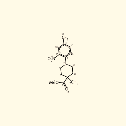 COC(=O)C1(C)CCN(c2ncc(C(F)(F)F)cc2[N+](=O)[O-])CC1